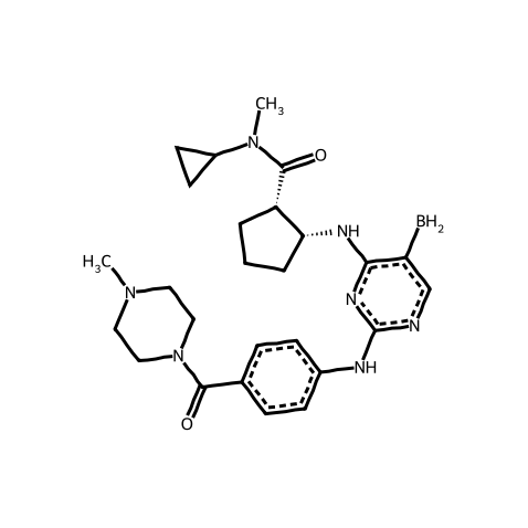 Bc1cnc(Nc2ccc(C(=O)N3CCN(C)CC3)cc2)nc1N[C@@H]1CCC[C@@H]1C(=O)N(C)C1CC1